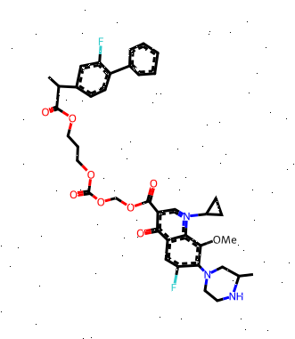 COc1c(N2CCNC(C)C2)c(F)cc2c(=O)c(C(=O)OCOC(=O)OCCCOC(=O)C(C)c3ccc(-c4ccccc4)c(F)c3)cn(C3CC3)c12